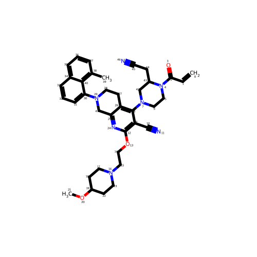 C=CC(=O)N1CCN(c2c(C#N)c(OCCN3CCC(OC)CC3)nc3c2CCN(c2cccc4cccc(C)c24)C3)CC1CC#N